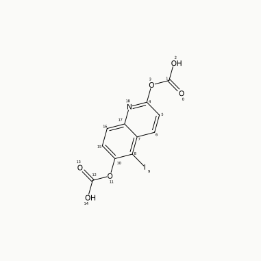 O=C(O)Oc1ccc2c(I)c(OC(=O)O)ccc2n1